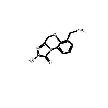 Cn1nc2n(c1=O)-c1cccc(CC=O)c1OC2